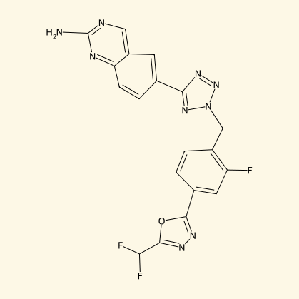 Nc1ncc2cc(-c3nnn(Cc4ccc(-c5nnc(C(F)F)o5)cc4F)n3)ccc2n1